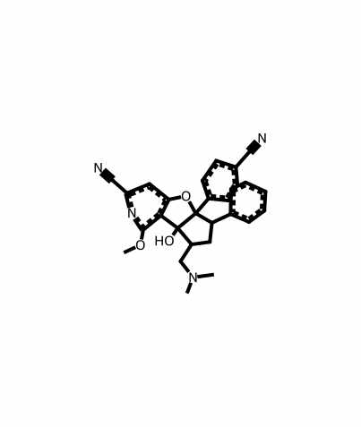 COc1nc(C#N)cc2c1C1(O)C(CN(C)C)CC(c3ccccc3)C1(c1ccc(C#N)cc1)O2